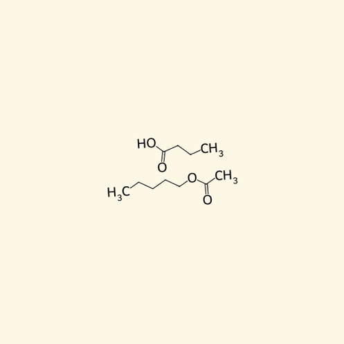 CCCC(=O)O.CCCCCOC(C)=O